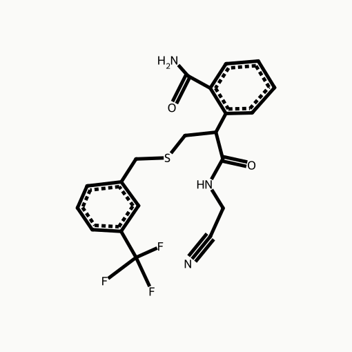 N#CCNC(=O)C(CSCc1cccc(C(F)(F)F)c1)c1ccccc1C(N)=O